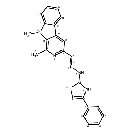 Cc1nc(/C=N/NC2NC(c3ccccc3)=CS2)cc2c3ccccc3n(C)c12